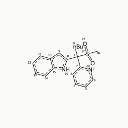 CCCCC(c1ccccn1)(c1cc2ccccc2[nH]1)S(C)(=O)=O